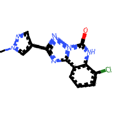 Cn1cc(-c2nc3c4cccc(Cl)c4[nH]c(=O)n3n2)cn1